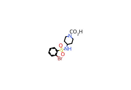 O=C(O)N1CCC(NS(=O)(=O)c2ccccc2Br)CC1